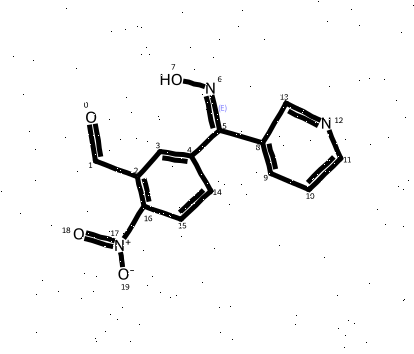 O=Cc1cc(/C(=N\O)c2cccnc2)ccc1[N+](=O)[O-]